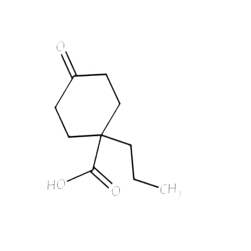 CCCC1(C(=O)O)CCC(=O)CC1